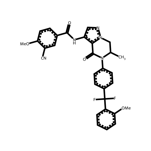 COc1ccc(C(=O)Nc2cnn3c2C(=O)N(c2ccc(C(F)(F)c4ccccc4OC)cc2)C(C)C3)cc1C#N